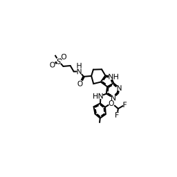 Cc1ccc(Nc2ncnc3[nH]c4c(c23)CC(C(=O)NCCCS(C)(=O)=O)CC4)c(OC(F)F)c1